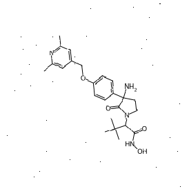 Cc1cc(COc2ccc(C3(N)CCN(C(C(=O)NO)C(C)(C)C)C3=O)cc2)cc(C)n1